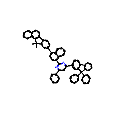 CC1(C)c2cc(-c3ccc(-c4nc(-c5ccccc5)cc(-c5ccc6c(c5)C(c5ccccc5)(c5ccccc5)c5ccccc5-6)n4)c4ccccc34)ccc2-c2ccc3ccccc3c21